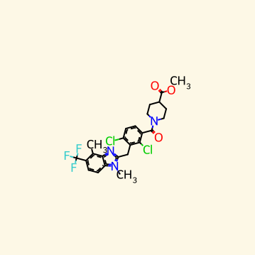 COC(=O)C1CCN(C(=O)c2ccc(Cl)c(Cc3nc4c(C)c(C(F)(F)F)ccc4n3C)c2Cl)CC1